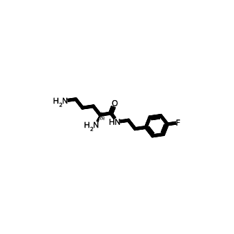 NCCC[C@H](N)C(=O)NCCc1ccc(F)cc1